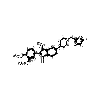 COc1ccc(-c2[nH]c3ccc(C4CCN(Cc5nccs5)CC4)cc3c2C(C)C)cc1OC